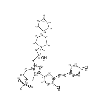 C[N+]1(C[C@H](O)Cn2nc(-c3ccc(Cl)c(C#Cc4ccc(Cl)cc4)c3)c3c2CCN(S(C)(=O)=O)C3)CCC(C2CCNCC2)CC1